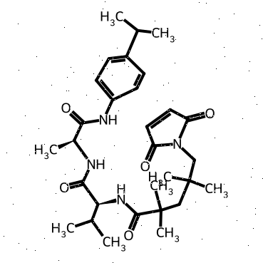 CC(C)c1ccc(NC(=O)[C@H](C)NC(=O)[C@@H](NC(=O)C(C)(C)CC(C)(C)CN2C(=O)C=CC2=O)C(C)C)cc1